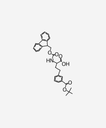 CC(C)(C)OC(=O)c1cccc(CCC(NC(=O)OCC2c3ccccc3-c3ccccc32)C(=O)O)c1